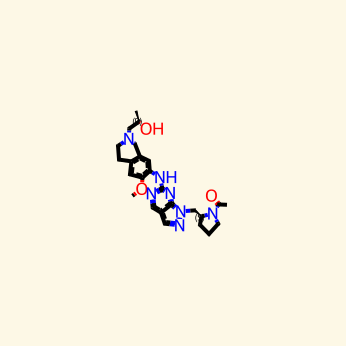 COc1cc2c(cc1Nc1ncc3cnn(C[C@@H]4CCCN4C(C)=O)c3n1)CN(C[C@@H](C)O)CC2